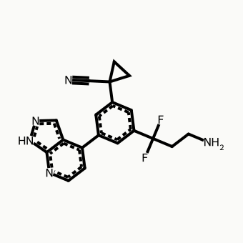 N#CC1(c2cc(-c3ccnc4[nH]ncc34)cc(C(F)(F)CCN)c2)CC1